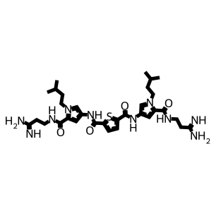 CC(C)CCn1cc(NC(=O)c2ccc(C(=O)Nc3cc(C(=O)NCCC(=N)N)n(CCC(C)C)c3)s2)cc1C(=O)NCCC(=N)N